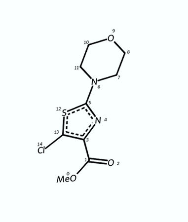 COC(=O)c1nc(N2CCOCC2)sc1Cl